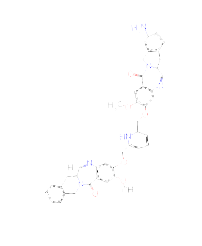 COc1cc2c(cc1OCC1=CC=CC(COc3cc4c(cc3OC)C(=O)N3Cc5cc(N)ccc5CC3C=N4)N1)N=C[C@@H]1Cc3ccccc3CN1C2=O